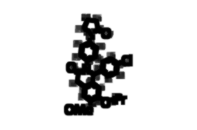 COc1cc2c(cc1OC(C)C)C(c1ccc(Cl)cc1)N(c1ccc(N3CCCC3=O)cc1)C(=O)C2